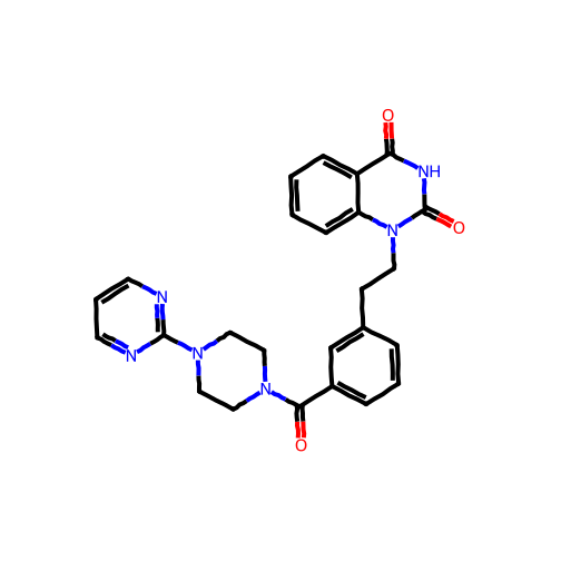 O=C(c1cccc(CCn2c(=O)[nH]c(=O)c3ccccc32)c1)N1CCN(c2ncccn2)CC1